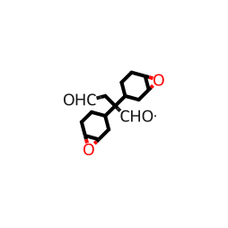 O=[C]C(CC=O)(C1CCC2OC2C1)C1CCC2OC2C1